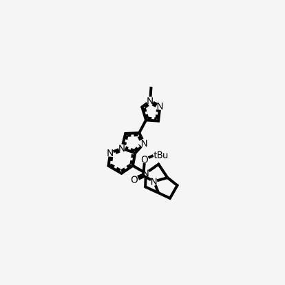 Cn1cc(-c2cn3nccc(N4CC5CCC(C4)N5C(=O)OC(C)(C)C)c3n2)cn1